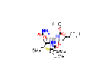 COCC1S[C@H]2[C@](COC)(OC)C(=O)[N+]2(NC(=O)C(CCCC(=O)O)NC(=O)OCC(Cl)(Cl)Cl)C(C(=O)[O-])=C1COC(N)=O